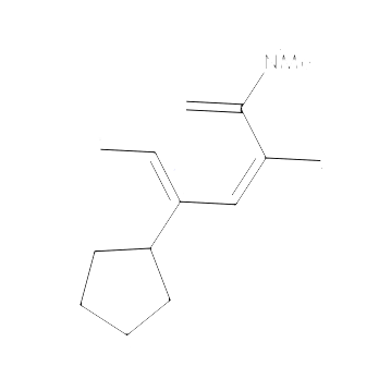 C=C(NC)/C(C)=C\C(=C\C)C1CCCC1